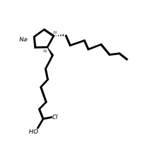 CCCCCCCC[C@H]1CCC[C@@H]1CCCCCCC(O)Cl.[Na]